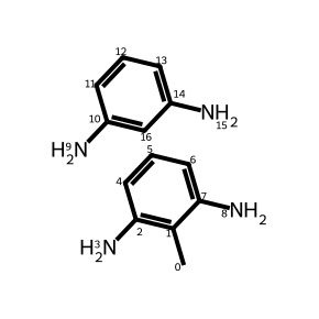 Cc1c(N)cccc1N.Nc1cccc(N)c1